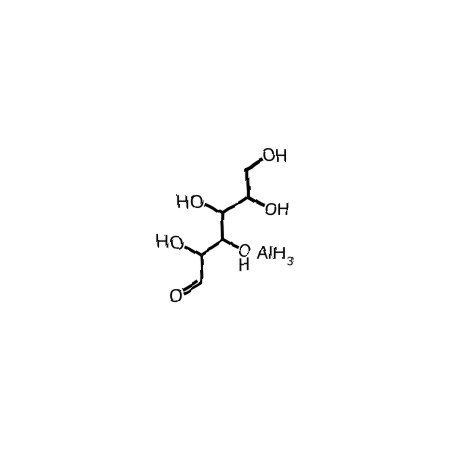 O=CC(O)C(O)C(O)C(O)CO.[AlH3]